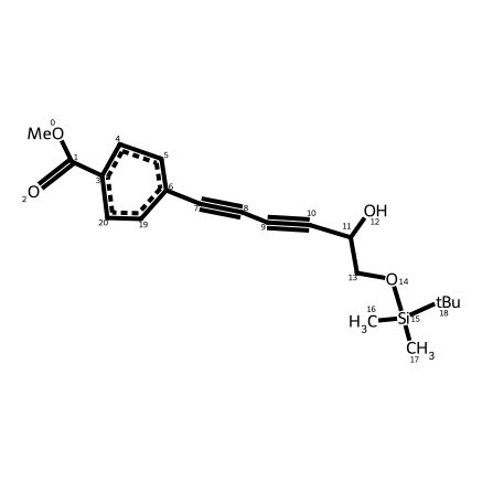 COC(=O)c1ccc(C#CC#CC(O)CO[Si](C)(C)C(C)(C)C)cc1